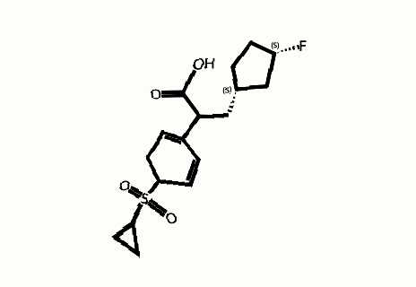 O=C(O)C(C[C@@H]1CC[C@H](F)C1)C1=CCC(S(=O)(=O)C2CC2)C=C1